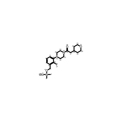 CC(C)(C)[Si](C)(C)OCc1cccc(N2CCN(C(=O)CC3CCOCC3)CC2)c1F